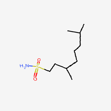 CC(C)CCCC(C)CCS(N)(=O)=O